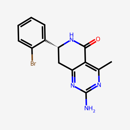 Cc1nc(N)nc2c1C(=O)N[C@@H](c1ccccc1Br)C2